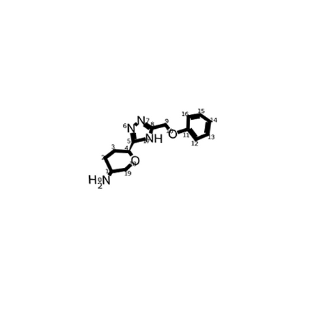 NC1CC[C@@H](c2nnc(COc3ccccc3)[nH]2)OC1